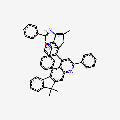 C\C1=C(c2cccc(-c3cc(-c4ccccc4)nc4cc5c(cc34)-c3ccccc3C5(C)C)c2)/N=C(c2ccccc2)\N=C(\c2ccccc2)CC1